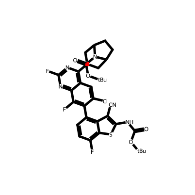 CC(C)(C)OC(=O)Nc1sc2c(F)ccc(-c3c(Cl)cc4c(N5CC6CCC(C5)N6C(=O)OC(C)(C)C)nc(F)nc4c3F)c2c1C#N